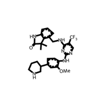 COc1cc(C2CCCNC2)ccc1Nc1ncc(C(F)(F)F)c(NCc2cccc3c2C(C)(C)C(=O)N3)n1